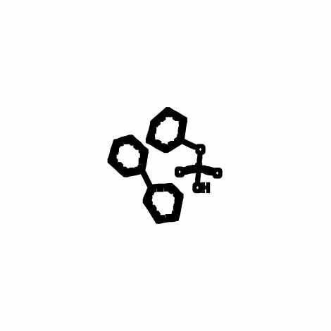 O=S(=O)(O)Oc1ccccc1.c1ccc(-c2ccccc2)cc1